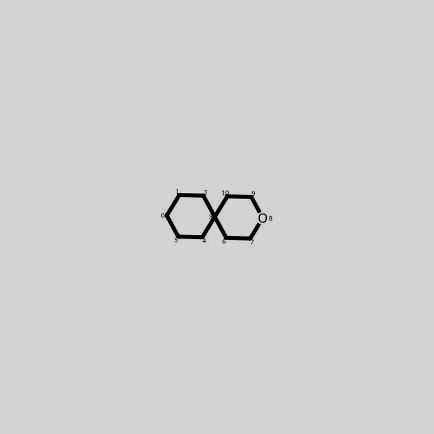 [CH]1CCC2(CC1)CCOCC2